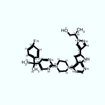 C[C@H](CO)n1cc(-c2cc3c(N4CCN(c5ncc(C(C)(N)c6ccc(F)cc6)cn5)CC4)ncnc3[nH]2)cn1